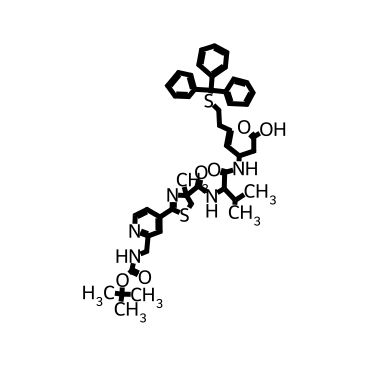 CC(C)C(NC(=O)C1(C)CSC(c2ccnc(CNC(=O)OC(C)(C)C)c2)=N1)C(=O)NC(C=CCCSC(c1ccccc1)(c1ccccc1)c1ccccc1)CC(=O)O